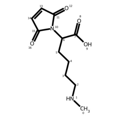 CNCCCCC(C(=O)O)N1C(=O)C=CC1=O